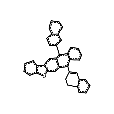 C1=C(c2c3ccccc3c(-c3ccc4ccccc4c3)c3cc4c(cc23)oc2ccccc24)CCc2ccccc21